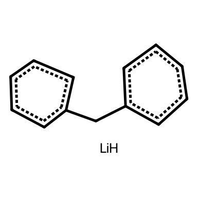 [LiH].c1ccc(Cc2ccccc2)cc1